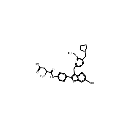 COc1cc(Cc2c(-c3ccc(NC(=O)C(N)CC(=O)O)cc3)sc3cc(O)ccc23)ccc1CN1CCCC1